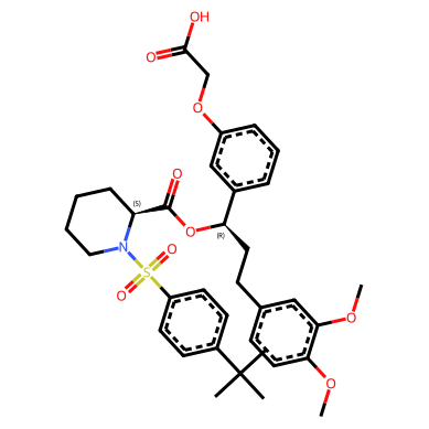 COc1ccc(CC[C@@H](OC(=O)[C@@H]2CCCCN2S(=O)(=O)c2ccc(C(C)(C)C)cc2)c2cccc(OCC(=O)O)c2)cc1OC